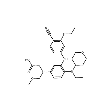 CCOc1cc(Nc2cc(C(COC)CC(=O)O)ccc2N(CC)C2CCOCC2)ccc1C#N